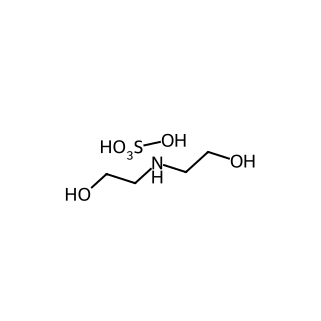 O=S(=O)(O)O.OCCNCCO